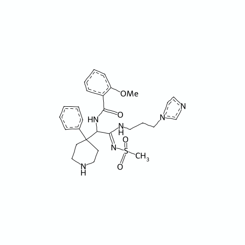 COc1ccccc1C(=O)NC(C(=NS(C)(=O)=O)NCCCn1ccnc1)C1(c2ccccc2)CCNCC1